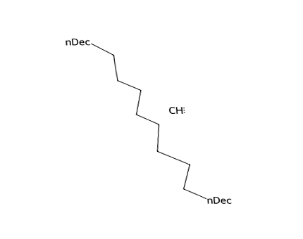 CCCCCCCCCCCCCCCCCCCCCCCCCCCC.[CH]